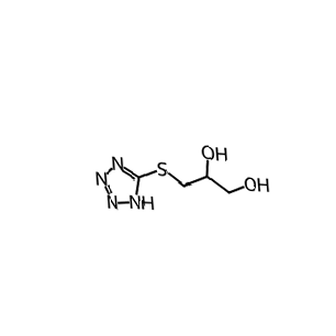 OCC(O)CSc1nnn[nH]1